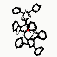 Cc1cc(-c2nc(-c3ccccc3)nc(-c3ccccc3)n2)c2c(oc3ccccc32)c1-n1c2ccccc2c2cc(-c3ccccc3)c3c4ccccc4n(-c4ccccc4)c3c21